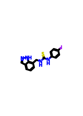 S=C(NCc1cccc2cn[nH]c12)Nc1ccc(I)cc1